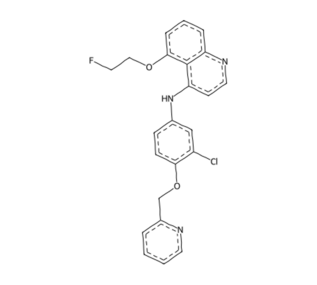 FCCOc1cccc2nccc(Nc3ccc(OCc4ccccn4)c(Cl)c3)c12